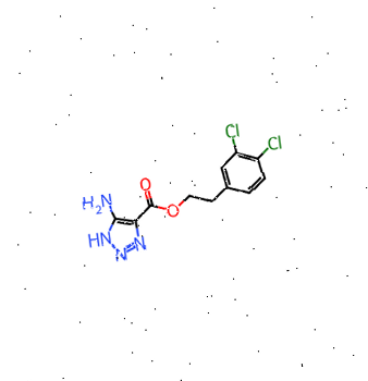 Nc1[nH]nnc1C(=O)OCCc1ccc(Cl)c(Cl)c1